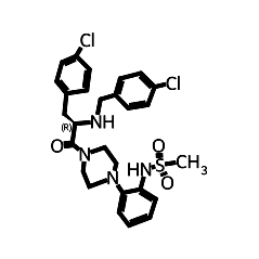 CS(=O)(=O)Nc1ccccc1N1CCN(C(=O)[C@@H](Cc2ccc(Cl)cc2)NCc2ccc(Cl)cc2)CC1